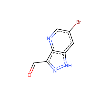 O=Cc1n[nH]c2cc(Br)cnc12